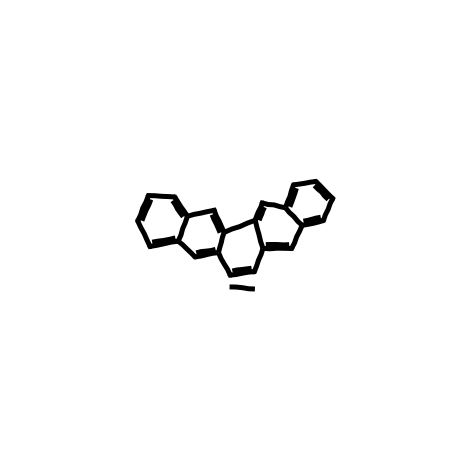 CC.c1ccc2cc3c(ccc4cc5ccccc5cc43)cc2c1